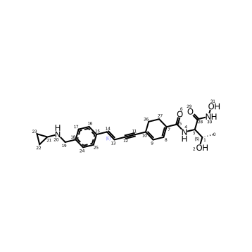 C[C@H](O)C(NC(=O)C1=CC=C(C#C/C=C/c2ccc(CNC3CC3)cc2)CC1)C(=O)NO